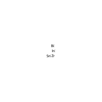 [Bi].[In].[Sn].[Zr]